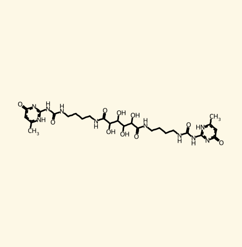 Cc1cc(=O)nc(NC(=O)NCCCCNC(=O)C(O)C(O)C(O)C(O)C(=O)NCCCCNC(=O)Nc2nc(=O)cc(C)[nH]2)[nH]1